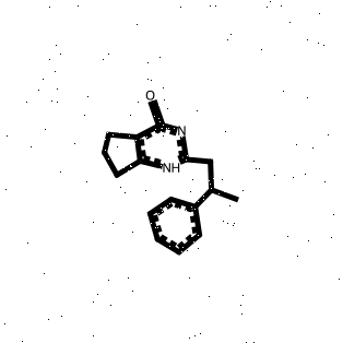 CC(Cc1nc(=O)c2c([nH]1)CCC2)c1ccccc1